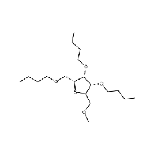 CCCCOC[C@H]1SC(COC)[C@@H](OCCCC)[C@H]1OCCCC